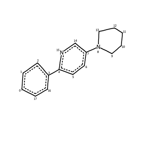 [c]1ccc(-c2ccc(N3CCCCC3)cn2)cc1